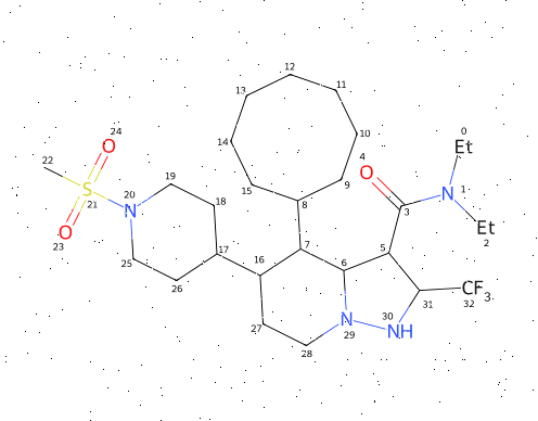 CCN(CC)C(=O)C1C2C(C3CCCCCCC3)C(C3CCN(S(C)(=O)=O)CC3)CCN2NC1C(F)(F)F